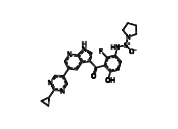 O=C(c1c(O)ccc(N[S+]([O-])N2CCCC2)c1F)c1c[nH]c2ncc(-c3cnc(C4CC4)nc3)cc12